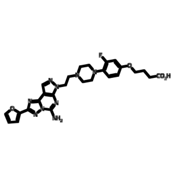 Nc1nc2c(cnn2CCN2CCN(c3ccc(OCCCC(=O)O)cc3F)CC2)c2nc(-c3ccco3)nn12